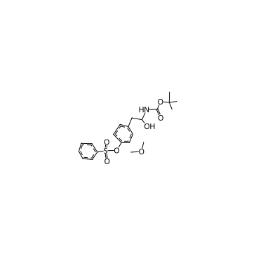 CC(C)(C)OC(=O)NC(O)Cc1ccc(OS(=O)(=O)c2ccccc2)cc1.COC